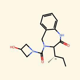 CC[C@H](C)C1C(=O)Nc2ccccc2CN1C(=O)N1CC(O)C1